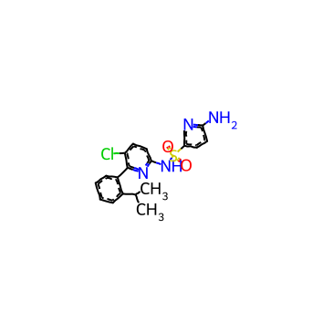 CC(C)c1ccccc1-c1nc(NS(=O)(=O)c2ccc(N)nc2)ccc1Cl